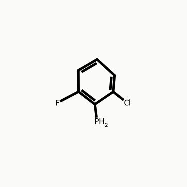 Fc1cccc(Cl)c1P